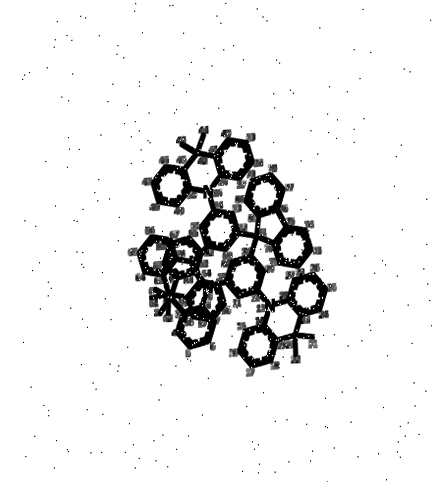 CC1(C)c2ccccc2N(c2cc(N3c4ccccc4C(C)(C)c4ccccc43)cc(C3(c4cc(N5c6ccccc6C(C)(C)c6ccccc65)cc(N5c6ccccc6C(C)(C)c6ccccc65)c4)c4ccccc4-c4ccccc43)c2)c2ccccc21